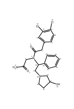 NC(=O)CN(C(=O)Cc1ccc(Cl)c(Cl)c1)C(CN1CCC(O)C1)c1ccccc1